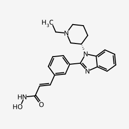 CCN1CCC[C@H](n2c(-c3cccc(/C=C/C(=O)NO)c3)nc3ccccc32)C1